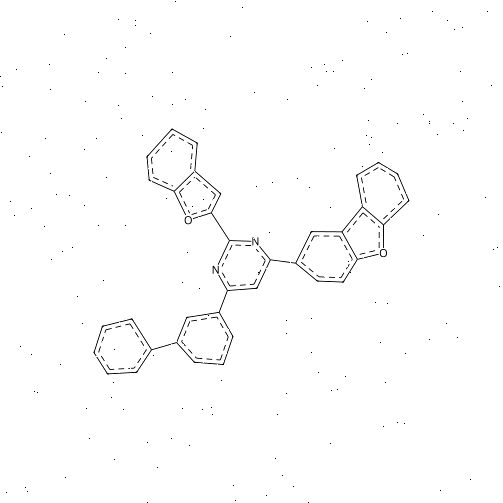 c1ccc(-c2cccc(-c3cc(-c4ccc5oc6ccccc6c5c4)nc(-c4cc5ccccc5o4)n3)c2)cc1